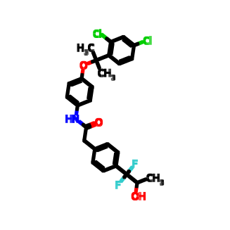 CC(O)C(F)(F)c1ccc(CC(=O)Nc2ccc(OC(C)(C)c3ccc(Cl)cc3Cl)cc2)cc1